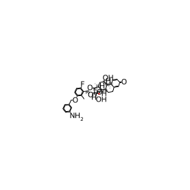 Cc1c(OCc2cccc(N)c2)ccc(F)c1[C@@H]1O[C@@H]2C[C@H]3[C@@H]4CCC5=CC(=O)C=C[C@]5(C)[C@H]4[C@@H](O)C[C@]3(C)[C@]2(C(=O)CO)O1